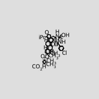 CC(C)C1=C2[C@H]3CC[C@@H]4[C@@]5(C)CC[C@H](OC(=O)[C@H]6C[C@@H](C(=O)O)C6(C)C)C(C)(C)[C@@H]5CC[C@@]4(C)[C@]3(C)CC[C@@]2(CC(=O)NC(F)(CO)CNC(=O)c2ccc(Cl)cc2)CC1=O